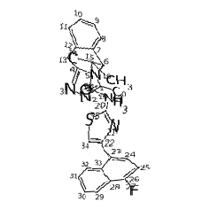 Cc1nnc2n1C1c3ccccc3C2CC1(C)C(=O)Nc1nc(-c2ccc(F)c3ccccc23)cs1